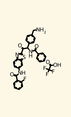 NCc1ccc(C(NC(=O)c2ccccc2)C(=O)c2nc3ccc(NC(=O)c4ccccc4F)cc3s2)cc1.O=C(O)C(F)(F)F